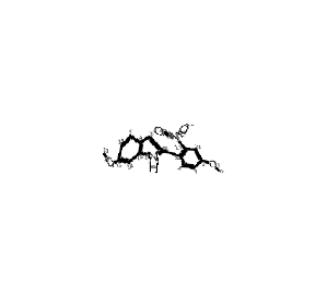 COc1ccc(-c2cc3ccc(OC)cc3[nH]2)c([N+](=O)[O-])c1